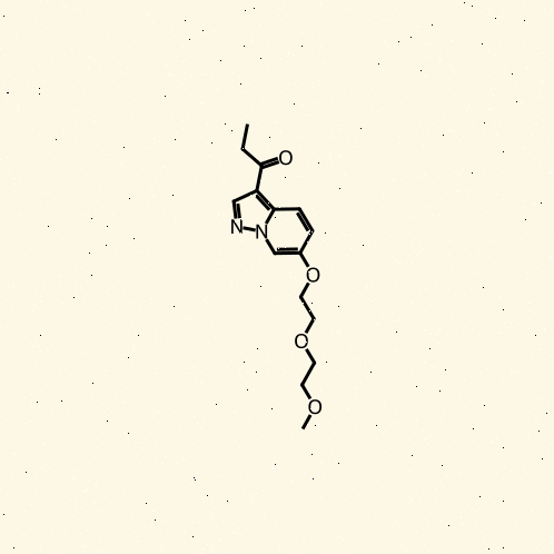 CCC(=O)c1cnn2cc(OCCOCCOC)ccc12